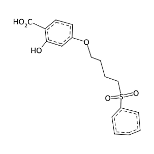 O=C(O)c1ccc(OCCCCS(=O)(=O)c2ccccc2)cc1O